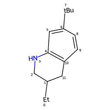 CCC1CNc2cc(C(C)(C)C)ccc2C1